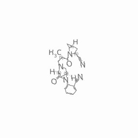 C[C@@H](CN1C[C@@H]2C[C@H]1C(=O)N2c1ccccc1C#N)C(=O)N1C2C[C@H]2C[C@H]1C#N